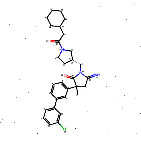 CC1(c2cccc(-c3cccc(Cl)c3)c2)CC(=N)N(C[C@@H]2CCN(C(=O)CC3CCCCC3)C2)C1=O